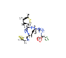 O=C(CCl)Nc1cc(-c2nccs2)nc(-c2cccs2)n1